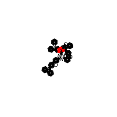 c1ccc(-c2nc(-c3ccc4c(c3)oc3cc(-n5c6ccccc6c6ccccc65)ccc34)nc(-c3cccc4oc5ccc(-c6cc(-c7ccc8c9ccccc9n(-c9ccccc9)c8c7)cc7oc8ccccc8c67)cc5c34)n2)cc1